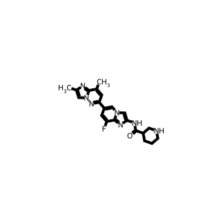 Cc1cn2nc(-c3cc(F)c4nc(NC(=O)C5CCCNC5)cn4c3)cc(C)c2n1